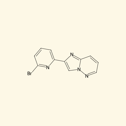 Brc1cccc(-c2cn3ncccc3n2)n1